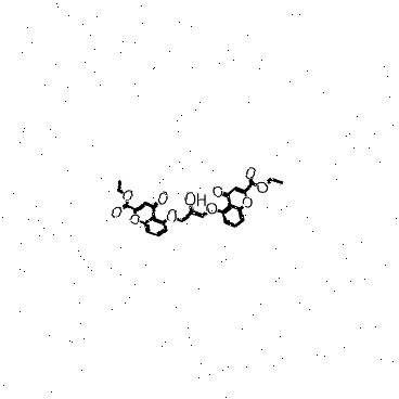 CCOC(=O)c1cc(=O)c2c(OCC(O)COc3cccc4oc(C(=O)OCC)cc(=O)c34)cccc2o1